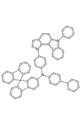 c1ccc(-c2ccc(N(c3ccc(-n4ccc5ccc6c(c7ccccc7n6-c6ccccc6)c54)cc3)c3ccc4c(c3)C3(c5ccccc5-c5ccccc53)c3ccccc3-4)cc2)cc1